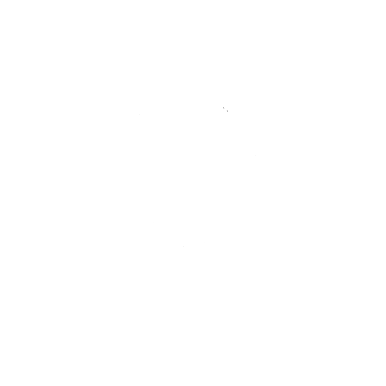 c1ccc(-c2ccccc2-c2sc(-c3nccs3)c3ccccc23)cc1